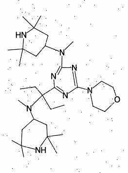 CCC(CC)(c1nc(N2CCOCC2)nc(N(C)C2CC(C)(C)NC(C)(C)C2)n1)N(C)C1CC(C)(C)NC(C)(C)C1